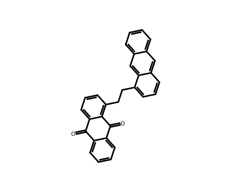 O=C1c2ccccc2C(=O)c2c(CCc3cccc4cc5ccccc5cc34)cccc21